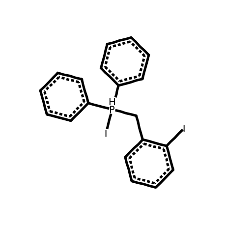 Ic1ccccc1C[PH](I)(c1ccccc1)c1ccccc1